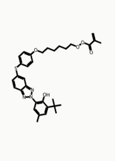 C=C(C)C(=O)OOCCCCCCOc1ccc(Sc2ccc3nn(-c4cc(C)cc(C(C)(C)C)c4O)nc3c2)cc1